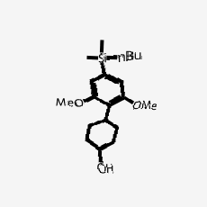 CCCC[Si](C)(C)c1cc(OC)c(C2CCC(O)CC2)c(OC)c1